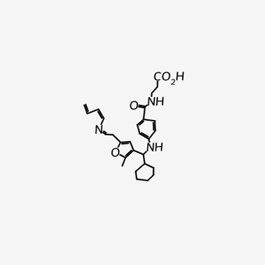 C=C/C=C\N=C/Cc1cc(C(Nc2ccc(C(=O)NCCC(=O)O)cc2)C2CCCCC2)c(C)o1